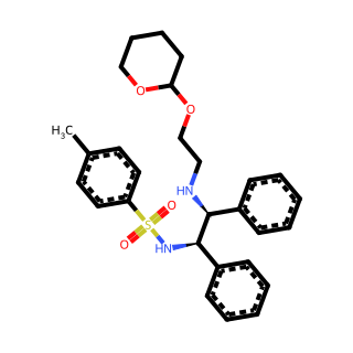 Cc1ccc(S(=O)(=O)N[C@H](c2ccccc2)[C@@H](NCCOC2CCCCO2)c2ccccc2)cc1